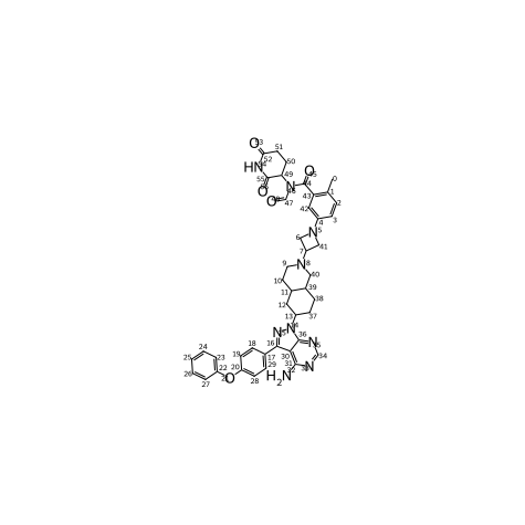 Cc1ccc(N2CC(N3CCC4CC(n5nc(-c6ccc(Oc7ccccc7)cc6)c6c(N)ncnc65)CCC4C3)C2)cc1C(=O)N(C=O)C1CCC(=O)NC1=O